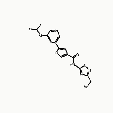 CC(=O)Cc1nsc(NC(=O)c2coc(-c3cccc(OC(F)F)c3)c2)n1